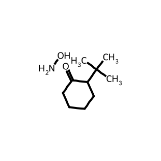 CC(C)(C)C1CCCCC1=O.NO